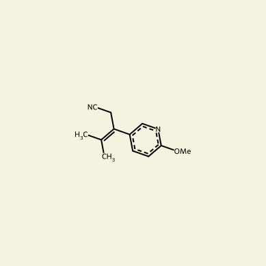 COc1ccc(C(CC#N)=C(C)C)cn1